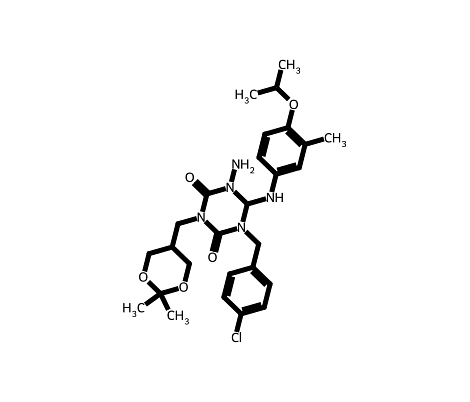 Cc1cc(NC2N(N)C(=O)N(CC3COC(C)(C)OC3)C(=O)N2Cc2ccc(Cl)cc2)ccc1OC(C)C